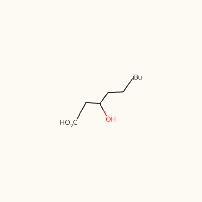 CCC(C)CCC(O)CC(=O)O